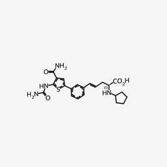 NC(=O)Nc1sc(-c2cccc(C=CC[C@H](NC3CCCC3)C(=O)O)c2)cc1C(N)=O